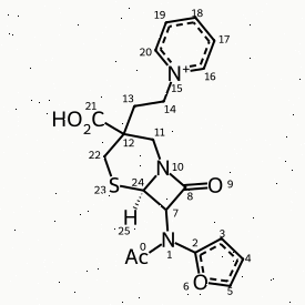 CC(=O)N(c1ccco1)C1C(=O)N2CC(CC[n+]3ccccc3)(C(=O)O)CS[C@H]12